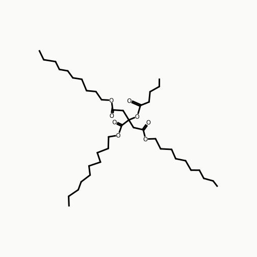 CCCCCCCCCCOC(=O)CC(CC(=O)OCCCCCCCCCC)(OC(=O)CCCC)C(=O)OCCCCCCCCCC